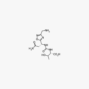 CC(O)[C@H](NC(=O)N[C@H](CC(N)=O)c1nc(CN)no1)C(=O)O